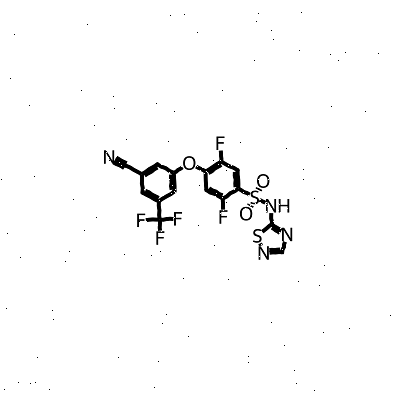 N#Cc1cc(Oc2cc(F)c(S(=O)(=O)Nc3ncns3)cc2F)cc(C(F)(F)F)c1